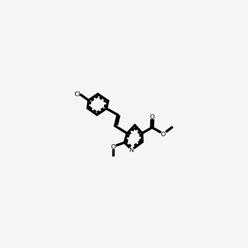 COC(=O)c1cnc(OC)c(C=Cc2ccc(Cl)cc2)c1